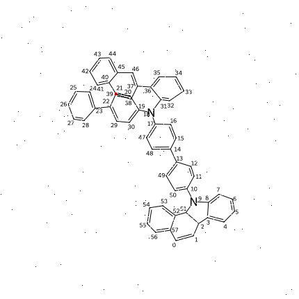 C1=CC2c3ccccc3N(c3ccc(-c4ccc(N(c5ccc(-c6ccccc6)cc5)c5ccccc5-c5ccc6ccccc6c5)cc4)cc3)C2c2ccccc21